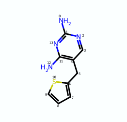 Nc1ncc(Cc2cccs2)c(N)n1